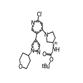 CC(C)(C)OC(=O)N[C@@H]1CCN(c2cc(Cl)ncc2-c2cnn(C3CCOCC3)c2)C1